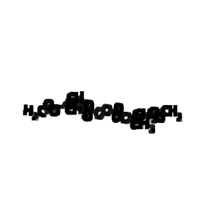 C=CC(=O)OCCC[Si](C)(C)c1ccc(OC(=O)c2ccc3cc(C(=O)Oc4ccc([Si](C)(C)CCCOC(=O)C=C)cc4)ccc3c2)cc1